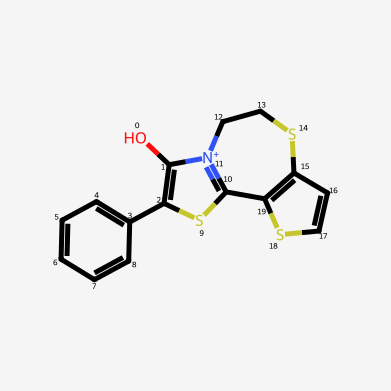 Oc1c(-c2ccccc2)sc2[n+]1CCSc1ccsc1-2